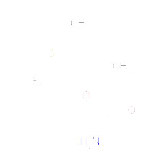 CCSC(C)=C(C)OC(N)=O